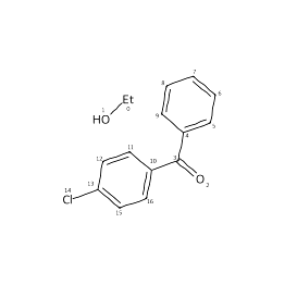 CCO.O=C(c1ccccc1)c1ccc(Cl)cc1